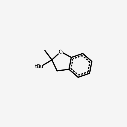 CC(C)(C)C1(C)Cc2ccccc2O1